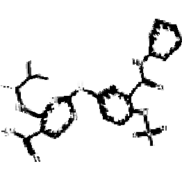 CC(C)[C@@H](C)Nc1nc(Nc2ccc(OS(C)(=O)=O)c(C(=O)Nc3ccccc3)c2)ncc1C(N)=O